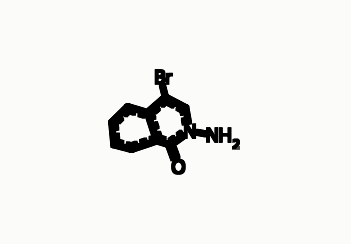 Nn1cc(Br)c2ccccc2c1=O